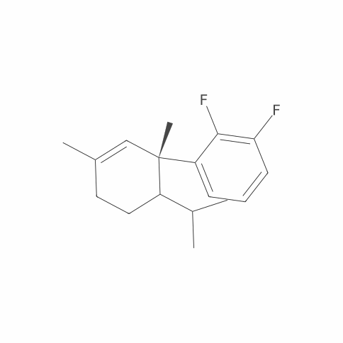 CC1=C[C@](C)(c2cccc(F)c2F)C(C(C)C)CC1